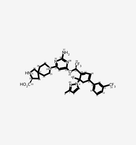 Cc1ccn(C2(F)CC(c3cccc(C(F)(F)F)c3)=CC=C2[C@@H](Oc2cc(N3CCC4(CC3)CN[C@H](C(=O)O)C4)nc(N)n2)C(F)(F)F)n1